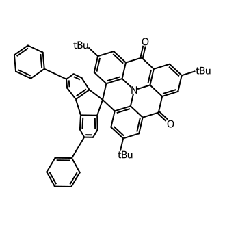 CC(C)(C)c1cc2c3c(c1)c(=O)c1cc(C(C)(C)C)cc4c(=O)c5cc(C(C)(C)C)cc(c5n3c14)C21c2ccc(-c3ccccc3)cc2-c2cc(-c3ccccc3)ccc21